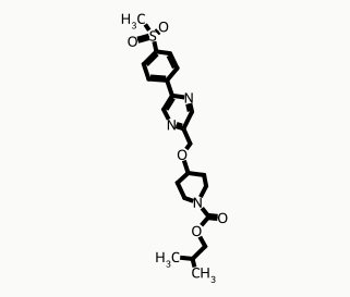 CC(C)COC(=O)N1CCC(OCc2cnc(-c3ccc(S(C)(=O)=O)cc3)cn2)CC1